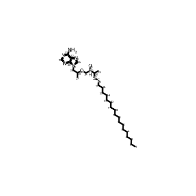 CCCCCCCCCCCCCCCCCCSSC(C)[PH](=O)COC(C)Cn1cnc2c(N)ncnc21